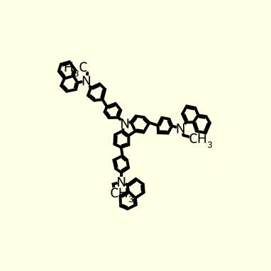 CCN(c1ccc(-c2ccc(-n3c4ccc(-c5ccc(N(CC)c6cccc7ccccc67)cc5)cc4c4cc(-c5ccc(N(CC)c6cccc7ccccc67)cc5)ccc43)cc2)cc1)c1cccc2ccccc12